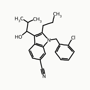 CCCc1c(C(O)C(C)C)c2ccc(C#N)cc2n1Cc1ccccc1Cl